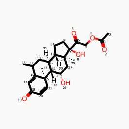 CC(=O)OCC(=O)[C@@]1(O)CC[C@H]2[C@@H]3CC(C)C4=CC(=O)C=C[C@]4(C)[C@H]3[C@@H](O)C[C@@]21C